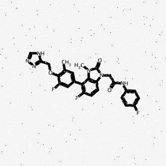 Cc1cc(-c2c(F)ccc3c2n(C)c(=O)n3CC(=O)Nc2ccc(F)cc2)cc(F)c1OCc1nnc[nH]1